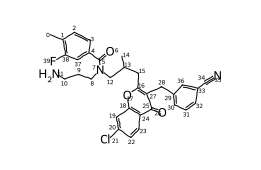 Cc1ccc(C(=O)N(CCCN)CC(C)Cc2oc3cc(Cl)ccc3c(=O)c2Cc2cccc(C#N)c2)cc1F